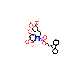 COC1=CC2=CCC(NC(=O)OCCC3c4ccccc4-c4ccccc43)c3cc(=O)c(OC)ccc3C2=C(OC)C1OC